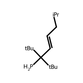 CC(C)CC=CC(P)(C(C)(C)C)C(C)(C)C